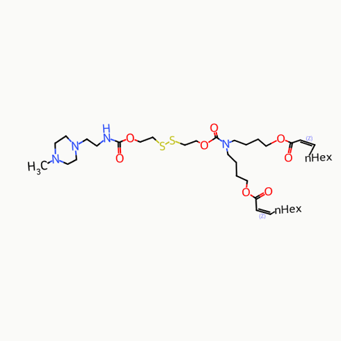 CCCCCC/C=C\C(=O)OCCCCN(CCCCOC(=O)/C=C\CCCCCC)C(=O)OCCSSCCOC(=O)NCCN1CCN(C)CC1